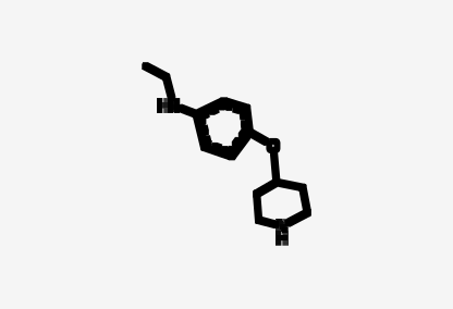 CCNc1ccc(OC2CCNCC2)cc1